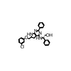 OC[C@@H](Nc1nc(-c2ccccc2)nc2c1CC(COc1cccc(Cl)c1)N2)c1ccccc1